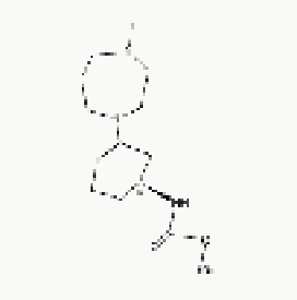 CN1CCCN(C2CCC[C@H](NC(=O)OC(C)(C)C)C2)CC1